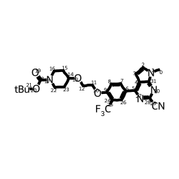 Cn1ccc2c(-c3ccc(OCCOC4CCN(C(=O)OC(C)(C)C)CC4)c(C(F)(F)F)c3)nc(C#N)nc21